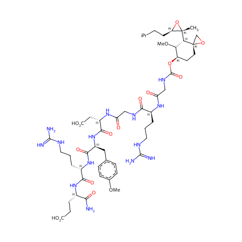 COc1ccc(C[C@H](NC(=O)[C@H](CC(=O)O)NC(=O)CNC(=O)[C@H](CCCNC(=N)N)NC(=O)CNC(=O)O[C@@H]2CC[C@]3(CO3)[C@@H]([C@@]3(C)O[C@@H]3CCC(C)C)C2OC)C(=O)N[C@@H](CCCNC(=N)N)C(=O)N[C@@H](CCC(=O)O)C(N)=O)cc1